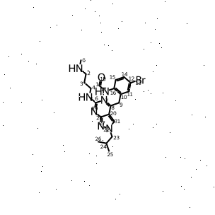 CNCCCNc1nc(Cc2cc(Br)ccc2NC=O)c2cn(CC(C)C)nc2n1